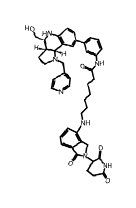 O=C1CCC(N2Cc3c(NCCCCCCC(=O)Nc4cccc(-c5ccc6c(c5)[C@H]5[C@H](CCN5Cc5ccncc5)[C@@H](CO)N6)c4)cccc3C2=O)C(=O)N1